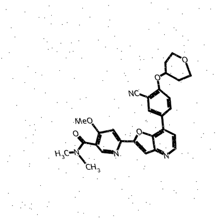 COc1cc(-c2cc3nccc(-c4ccc(OC5CCOCC5)c(C#N)c4)c3o2)ncc1C(=O)N(C)C